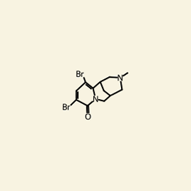 CN1CC2CC(C1)c1c(Br)cc(Br)c(=O)n1C2